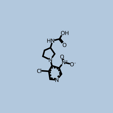 O=C(O)NC1CCN(c2c(Cl)cncc2[N+](=O)[O-])C1